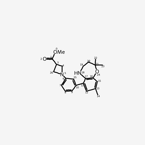 COC(=O)C1CN(c2cccc(-c3cc(C)cc4c3NCCC(C)(C)O4)c2)C1